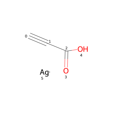 C#CC(=O)O.[Ag]